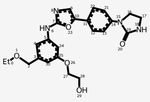 CCOCc1cc(Nc2ncc(-c3ccc(N4CCNC4=O)cc3)o2)cc(OCCO)c1